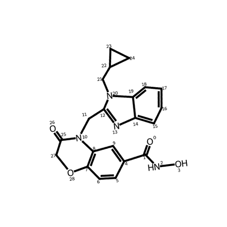 O=C(NO)c1ccc2c(c1)N(Cc1nc3ccccc3n1CC1CC1)C(=O)CO2